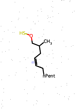 CCCCCC/C=C\CC(C)COS